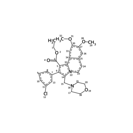 CCOC(=O)c1c(-c2cccc(Cl)c2)c(CN2CCOCC2)n2ccc3cc(OC)c(OC)cc3c12